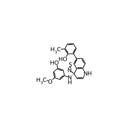 COc1cc(O)cc(N[C@@]2(N=S)C=CNc3ccc(-c4cccc(C)c4O)cc32)c1